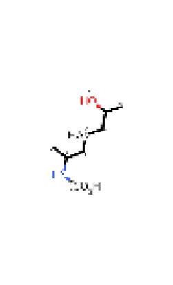 CC(O)C[AsH]CC(C)NC(=O)O